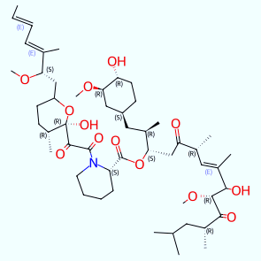 C/C=C/C=C(\C)[C@H](CC1CC[C@@H](C)[C@](O)(C(=O)C(=O)N2CCCC[C@H]2C(=O)O[C@@H](CC(=O)[C@H](C)/C=C(\C)C(O)[C@@H](OC)C(=O)[C@H](C)CC(C)C)[C@H](C)C[C@@H]2CC[C@@H](O)[C@H](OC)C2)O1)OC